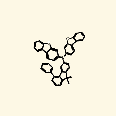 CC1(C)c2ccc(N(c3ccc4c(c3)oc3ccccc34)c3ccc4c(c3)sc3ccccc34)cc2-c2c(-c3ccccc3)cccc21